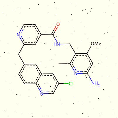 COc1cc(N)nc(C)c1CNC(=O)c1ccnc(Cc2ccc3ncc(Cl)cc3c2)c1